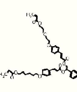 C=CC(=O)OCCCCCCOc1ccc(C=CC(=O)OCC(OC(=O)C=Cc2ccc(OCCCCCCOC(=O)C=C)cc2)c2ccccc2)cc1